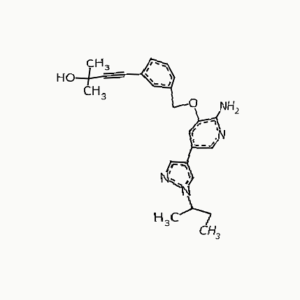 CCC(C)n1cc(-c2cnc(N)c(OCc3cccc(C#CC(C)(C)O)c3)c2)cn1